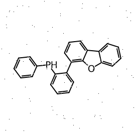 c1ccc(Pc2ccccc2-c2cccc3c2oc2ccccc23)cc1